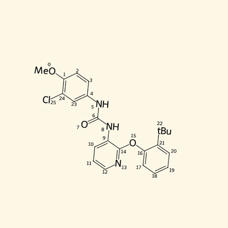 COc1ccc(NC(=O)Nc2cccnc2Oc2ccccc2C(C)(C)C)cc1Cl